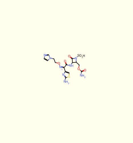 NC(=O)OCC1C(NC(=O)/C(=N\OCCn2ccnc2)c2csc(N)n2)C(=O)N1S(=O)(=O)O